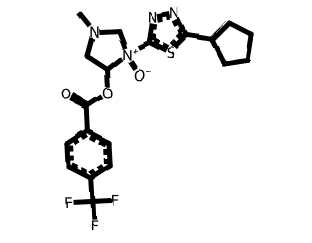 CN1CC(OC(=O)c2ccc(C(F)(F)F)cc2)[N+]([O-])(c2nnc(C3CCCC3)s2)C1